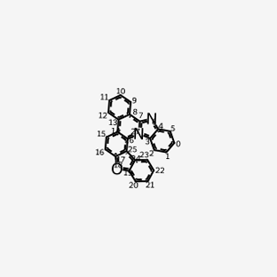 c1ccc2c(c1)nc1c3ccccc3c3ccc4oc5ccccc5c4c3n21